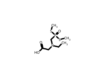 CCN(CC(=O)O)CP(=O)(SC)SC